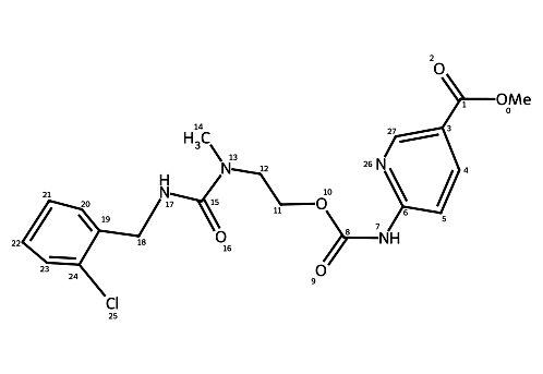 COC(=O)c1ccc(NC(=O)OCCN(C)C(=O)NCc2ccccc2Cl)nc1